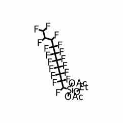 CCO[Si](OC(C)=O)(OC(C)=O)C(F)C(F)(F)C(F)(F)C(F)(F)C(F)(F)C(F)(F)C(F)(F)C(F)C(F)C(F)F